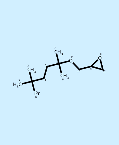 CC(C)C(C)(C)CCC(C)(C)OCC1CO1